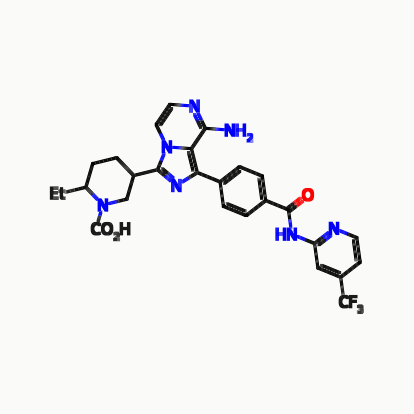 CCC1CCC(c2nc(-c3ccc(C(=O)Nc4cc(C(F)(F)F)ccn4)cc3)c3c(N)nccn23)CN1C(=O)O